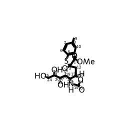 COC(=O)C1(Sc2ccc(C)cc2)C[C@H]2OC(=O)NC2[C@H]([C@H](O)[C@H](O)CO)O1